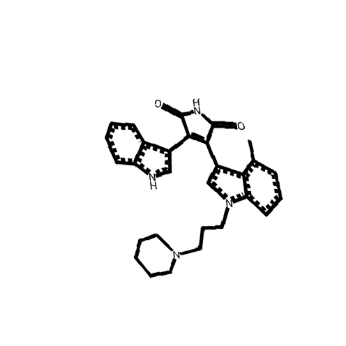 Cc1cccc2c1c(C1=C(c3c[nH]c4ccccc34)C(=O)NC1=O)cn2CCCN1CCCCC1